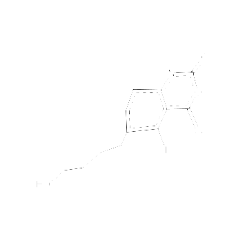 CCCCCc1ccc2[nH]c(=O)oc(=O)c2c1I